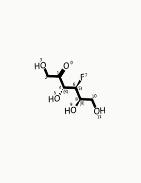 O=C(CO)[C@@H](O)[C@@H](F)[C@H](O)CO